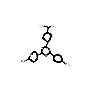 Cc1ccc(-c2nc(-c3ccc(C)cc3)nc(-c3ccc(C(C)C)cc3)n2)cc1